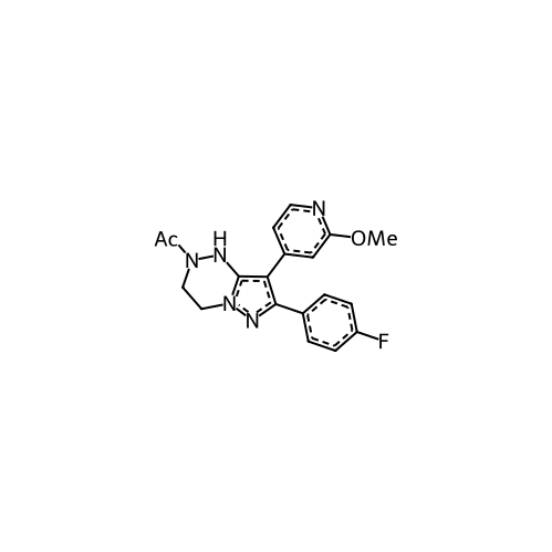 COc1cc(-c2c(-c3ccc(F)cc3)nn3c2NN(C(C)=O)CC3)ccn1